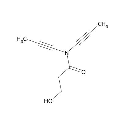 CC#CN(C#CC)C(=O)CCO